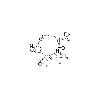 CCN1C(=O)N[C@@H](CCC(F)(F)F)CCCCCCc2nc(cn3ccnc23)-c2cc(ncc2OC)[C@H]1C